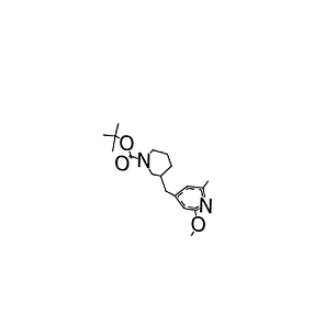 COc1cc(CC2CCCN(C(=O)OC(C)(C)C)C2)cc(C)n1